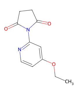 CCOc1ccnc(N2C(=O)CCC2=O)c1